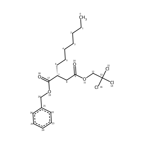 CCCCCCC[C@H](CC(=O)OCC(Cl)(Cl)Cl)C(=O)OCc1ccccc1